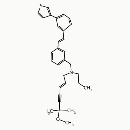 CCCN(CC=CC#CC(C)(C)OC)Cc1cccc(C=Cc2cccc(-c3ccsc3)c2)c1